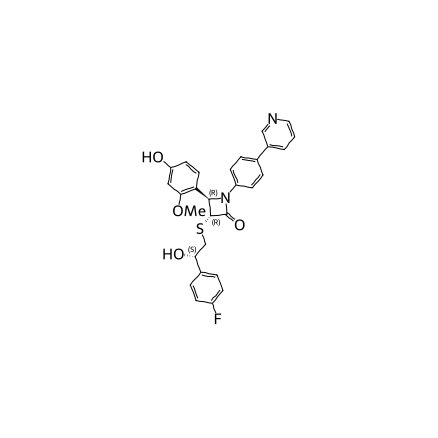 COc1cc(O)ccc1[C@@H]1[C@@H](SC[C@@H](O)c2ccc(F)cc2)C(=O)N1c1ccc(-c2cccnc2)cc1